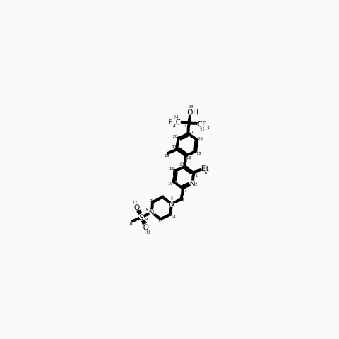 CCc1nc(CN2CCN(S(C)(=O)=O)CC2)ccc1-c1ccc(C(O)(C(F)(F)F)C(F)(F)F)cc1C